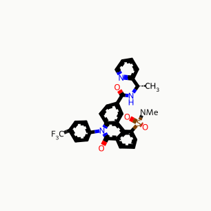 CNS(=O)(=O)c1cccc2c(=O)n(-c3ccc(C(F)(F)F)cc3)c3ccc(C(=O)N[C@@H](C)c4ccccn4)cc3c12